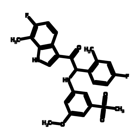 COc1cc(NC(C(=O)c2c[nH]c3c(C)c(F)ccc23)c2ccc(F)cc2C)cc(S(C)(=O)=O)c1